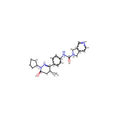 CC1CC(=O)N(C2CCCC2)N=C1c1ccc(NC(=O)N2Cc3ccncc3C2)cc1